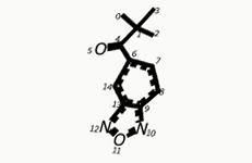 CC(C)(C)C(=O)c1ccc2nonc2c1